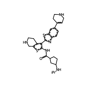 CC(C)NC1CCC(C(=O)Nc2sc3c(c2-c2nc4ccc(C5=CCNCC5)cc4s2)CCNC3)C1